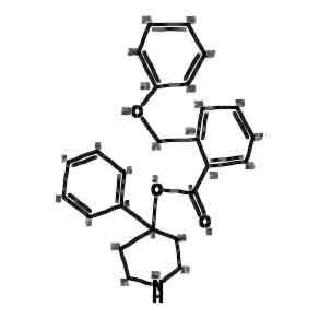 O=C(OC1(c2ccccc2)CCNCC1)c1ccccc1COc1ccccc1